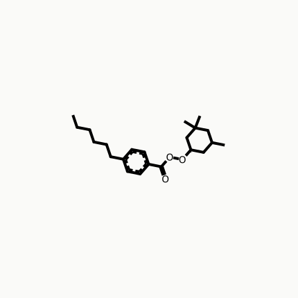 CCCCCCc1ccc(C(=O)OO[C]2CC(C)CC(C)(C)C2)cc1